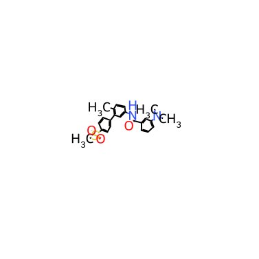 Cc1ccc(NC(=O)c2cccc(N(C)C)c2)cc1-c1ccc(S(C)(=O)=O)cc1